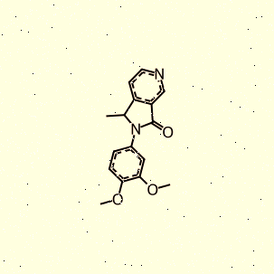 COc1ccc(N2C(=O)c3cnccc3C2C)cc1OC